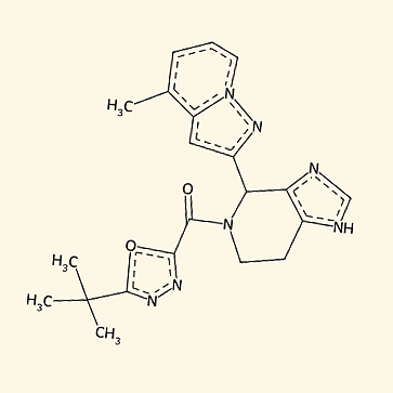 Cc1cccn2nc(C3c4nc[nH]c4CCN3C(=O)c3nnc(C(C)(C)C)o3)cc12